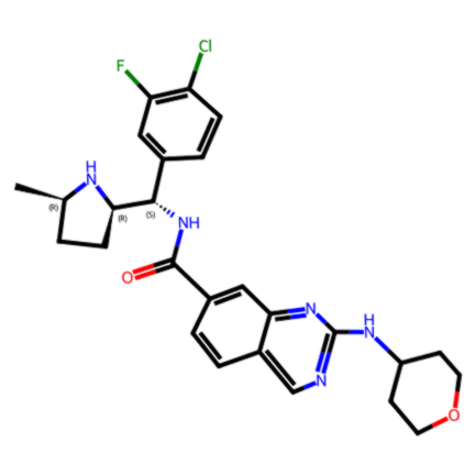 C[C@@H]1CC[C@H]([C@@H](NC(=O)c2ccc3cnc(NC4CCOCC4)nc3c2)c2ccc(Cl)c(F)c2)N1